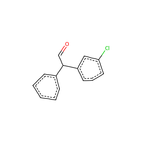 O=CC(c1ccccc1)c1cccc(Cl)c1